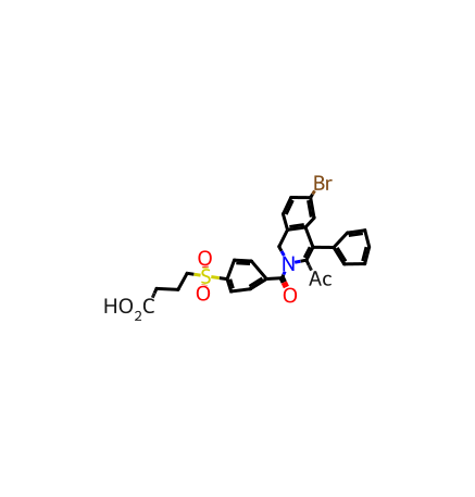 CC(=O)C1=C(c2ccccc2)c2cc(Br)ccc2CN1C(=O)c1ccc(S(=O)(=O)CCCC(=O)O)cc1